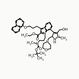 CCOC(=O)c1c(CCCOc2cccc3ccccc23)c2cccc(C3=C(CO)N(C)NC3CN3CCOCC3)c2n1CCCN(C)C(=O)OC(C)(C)C